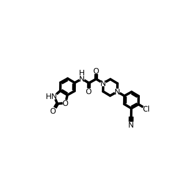 N#Cc1cc(N2CCN(C(=O)C(=O)Nc3ccc4[nH]c(=O)oc4c3)CC2)ccc1Cl